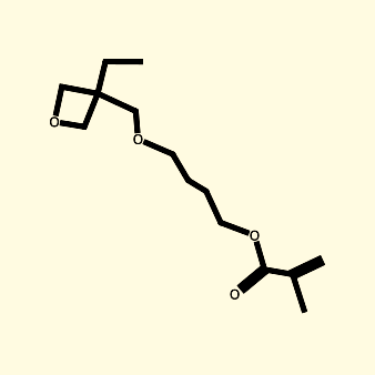 C=C(C)C(=O)OCCCCOCC1(CC)COC1